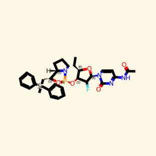 CC[C@H]1O[C@@H](n2ccc(NC(C)=O)nc2=O)C(F)[C@H]1O[P@@]1O[C@H](C[Si](C)(c2ccccc2)c2ccccc2)[C@@H]2CCCN21